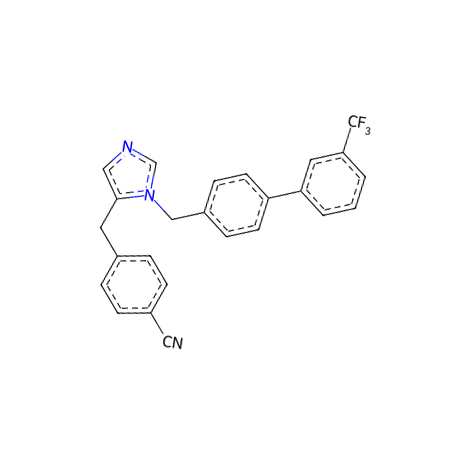 N#Cc1ccc(Cc2cncn2Cc2ccc(-c3cccc(C(F)(F)F)c3)cc2)cc1